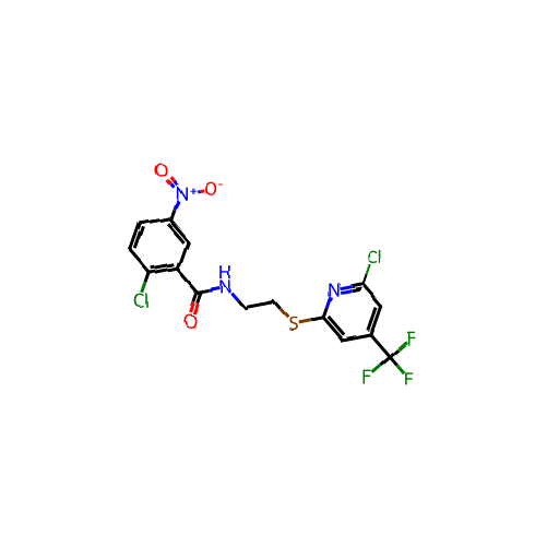 O=C(NCCSc1cc(C(F)(F)F)cc(Cl)n1)c1cc([N+](=O)[O-])ccc1Cl